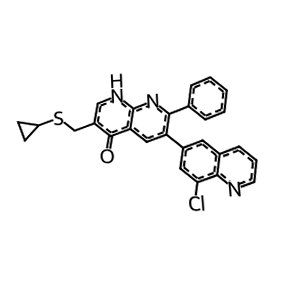 O=c1c(CSC2CC2)c[nH]c2nc(-c3ccccc3)c(-c3cc(Cl)c4ncccc4c3)cc12